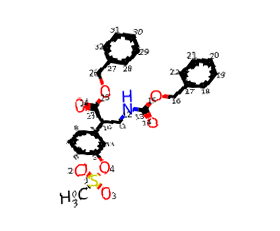 CS(=O)(=O)Oc1cccc(C(CNC(=O)OCc2ccccc2)C(=O)OCc2ccccc2)c1